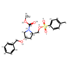 Cc1ccc(S(=O)(=O)OC[C@H]2C[C@H](OCc3ccccc3)CN2C(=O)OC(C)(C)C)cc1